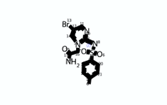 Cc1ccc(S(=O)(=O)/N=c2/ncc(Br)cn2CC(N)=O)cc1